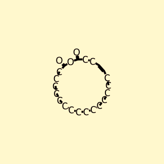 O=C1CC/C=C\CCCCCCCCCCCCCCCC(=O)O1